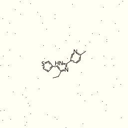 CCc1nc(-c2ccc(C)nc2)[nH]c1-c1ccsc1